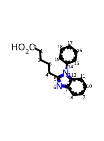 O=C(O)CCCCc1nc2ccccc2n1-c1ccccc1